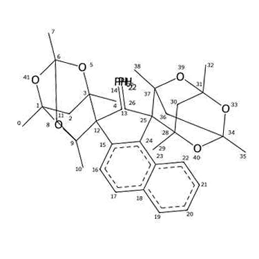 CC12CC3(C)OC(C)(CC(C)(O1)C3(CP)c1ccc3ccccc3c1C1(CP)C3(C)CC4(C)OC(C)(CC1(C)O4)O3)O2